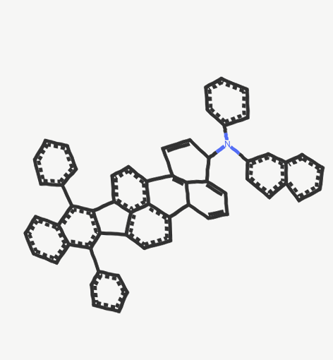 C1=CC2C3=C(C=CC(N(c4ccccc4)c4ccc5ccccc5c4)C3=C1)c1ccc3c4c(ccc2c14)-c1c-3c(-c2ccccc2)c2ccccc2c1-c1ccccc1